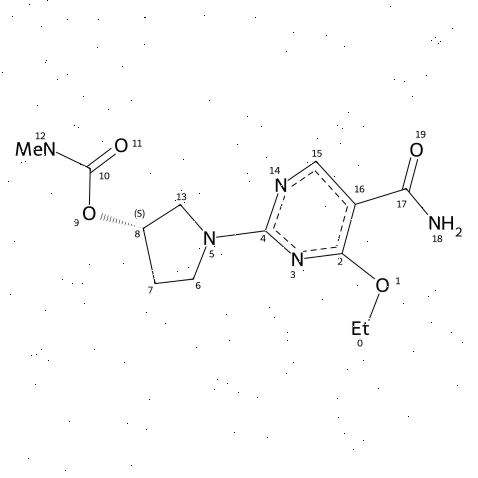 CCOc1nc(N2CC[C@H](OC(=O)NC)C2)ncc1C(N)=O